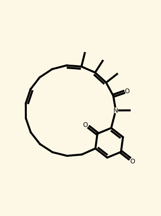 CC1=CCCC=CCCCCCCC2=CC(=O)C=C(C2=O)N(C)C(=O)C(C)=C1C